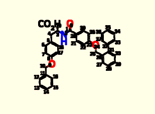 O=C(N[C@@H](Cc1ccc(OCc2ccccc2)cc1)C(=O)O)c1ccc(OCc2ccccc2-c2ccccc2)cc1